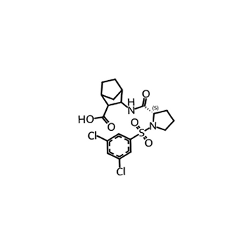 O=C(O)C1C2CCC(C2)C1NC(=O)[C@@H]1CCCN1S(=O)(=O)c1cc(Cl)cc(Cl)c1